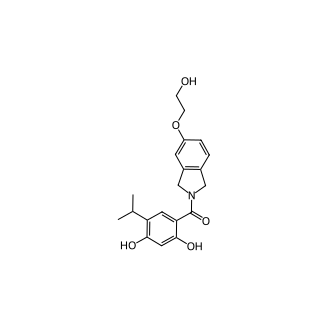 CC(C)c1cc(C(=O)N2Cc3ccc(OCCO)cc3C2)c(O)cc1O